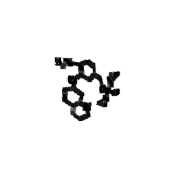 Nc1ccc(COP(=O)(N2CC2)N2CC2)cc1Oc1ccc2cccnc2c1